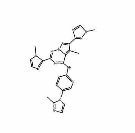 Cc1c(-c2ccn(C)n2)cn2nc(-c3nccn3C)nc(Nc3ccc(-n4ccnc4C)cn3)c12